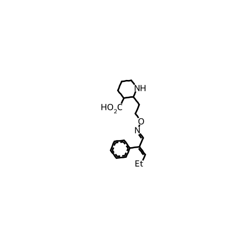 CCC=C(C=NOCCC1NCCCC1C(=O)O)c1ccccc1